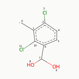 [CH2]c1c(Cl)ccc(C(O)O)c1Cl